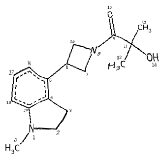 CN1CCc2c(C3CN(C(=O)C(C)(C)O)C3)cccc21